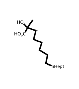 CCCCCCCCCCCC[CH]C(C)(O)C(=O)O